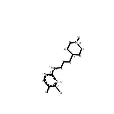 Cc1cnc(NCCCC2CCN(C)CC2)nc1C